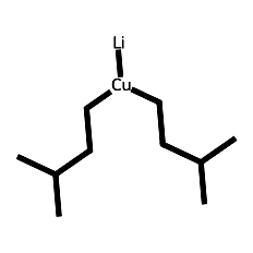 [Li][Cu]([CH2]CC(C)C)[CH2]CC(C)C